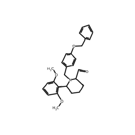 COc1cccc(OC)c1C1CCCC(C=O)N1Cc1ccc(OCc2ccccc2)cc1